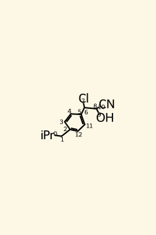 CC(C)Cc1ccc(C(Cl)C(O)C#N)cc1